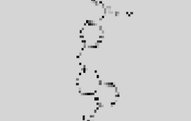 CC(=O)N[C@@H](C)c1ccc(CN2CCc3c(cccc3C(F)(F)F)C2)cc1